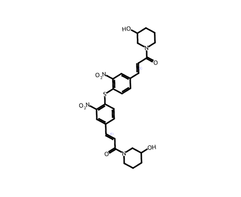 O=C(/C=C/c1ccc(Sc2ccc(/C=C/C(=O)N3CCCC(O)C3)cc2[N+](=O)[O-])c([N+](=O)[O-])c1)N1CCCC(O)C1